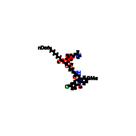 CCCCCCCCCCCCCCCCCC(=O)OC[C@H](COP(=O)([O-])OCC[N+](C)(C)C)OC(=O)CCCNC(=O)Cc1c(C)n(C(=O)c2ccc(Cl)cc2)c2ccc(OC)cc12